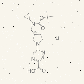 CC(C)(C)OC(=O)N(C[C@H]1CCN(c2cnc(C(=O)O)cn2)C1)C1CC1.[Li]